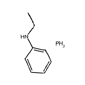 CCNc1ccccc1.P